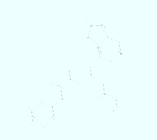 CCC(CC(OC(=O)CC(=O)O)Oc1cccc2c1=CC(=O)N=2)N(Cc1ccccc1)C(C)(C)C